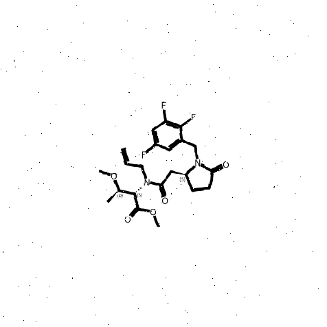 C=CCN(C(=O)C[C@@H]1CCC(=O)N1Cc1cc(F)cc(F)c1F)[C@H](C(=O)OC)[C@@H](C)OC